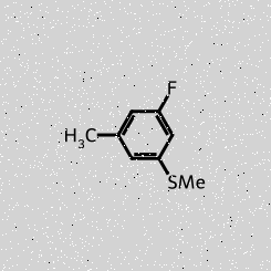 CSc1cc(C)cc(F)c1